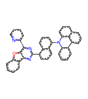 c1ccc(-c2nc(-c3cccc4c(N5c6ccccc6-c6cccc7cccc5c67)cccc34)nc3c2oc2ccccc23)nc1